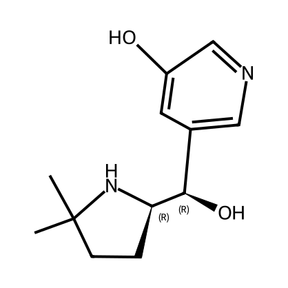 CC1(C)CC[C@H]([C@H](O)c2cncc(O)c2)N1